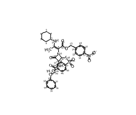 C/C(NC1CCCCC1)=C(/C(=O)OCc1ccc([N+](=O)[O-])cc1)N1C(=O)C(NC(=O)COc2ccccc2)C1SS(=O)(=O)c1ccc(C)cc1